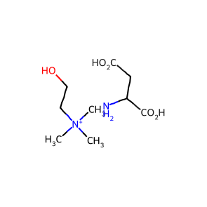 C[N+](C)(C)CCO.NC(CC(=O)O)C(=O)O